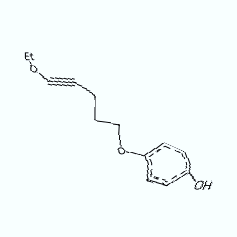 CCOC#CCCCOc1ccc(O)cc1